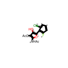 CC(=O)Nc1oc(-c2c(F)cccc2Cl)c(O)c1OC(C)=O